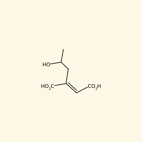 CC(O)C/C(=C\C(=O)O)C(=O)O